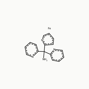 NC(c1ccccn1)(c1ccccn1)c1ccccn1.[Fe]